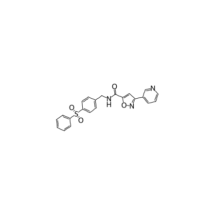 O=C(NCc1ccc(S(=O)(=O)c2ccccc2)cc1)c1cc(-c2cccnc2)no1